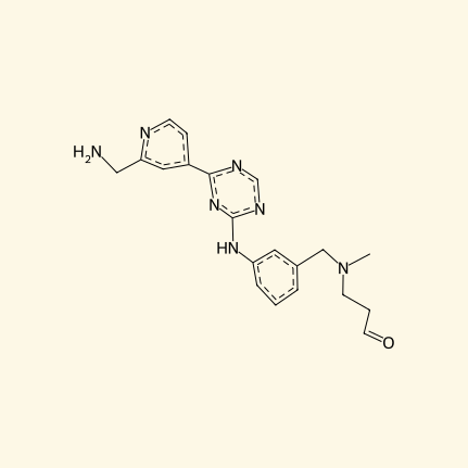 CN(CCC=O)Cc1cccc(Nc2ncnc(-c3ccnc(CN)c3)n2)c1